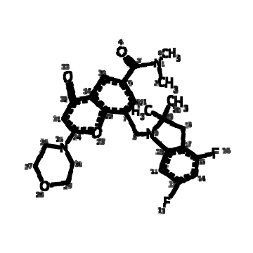 CN(C)C(=O)c1cc(CN2c3cc(F)cc(F)c3CC2(C)C)c2oc(N3CCOCC3)cc(=O)c2c1